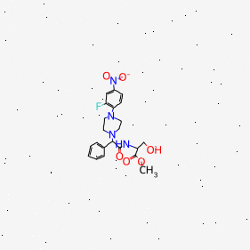 COC(=O)C(CO)NC(=O)C(c1ccccc1)N1CCN(c2ccc([N+](=O)[O-])cc2F)CC1